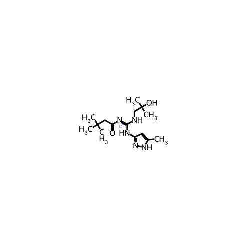 Cc1cc(N/C(=N\C(=O)CC(C)(C)C)NCC(C)(C)O)n[nH]1